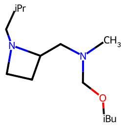 CCC(C)OCN(C)CC1CCN1CC(C)C